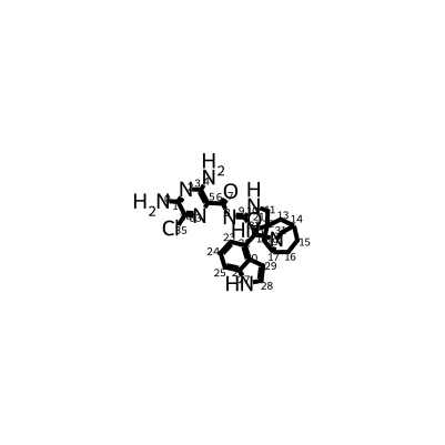 Nc1nc(N)c(C(=O)/N=C2\NCC3(CC4CCC(C3)N(C(=O)c3cccc5[nH]ccc35)C4)N2)nc1Cl